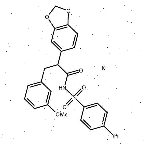 COc1cccc(CC(C(=O)NS(=O)(=O)c2ccc(C(C)C)cc2)c2ccc3c(c2)OCO3)c1.[K]